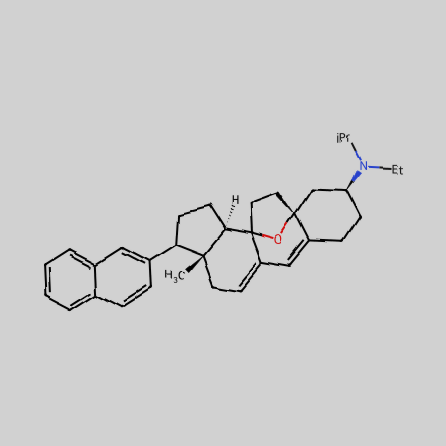 CCN(C(C)C)[C@H]1CCC2=CC3=CC[C@]4(C)C(c5ccc6ccccc6c5)CC[C@H]4C34CC[C@]2(C1)O4